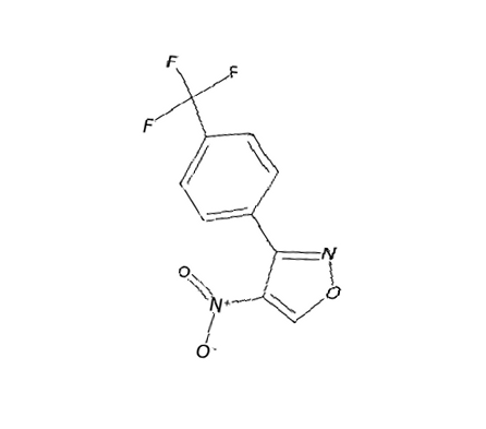 O=[N+]([O-])c1conc1-c1ccc(C(F)(F)F)cc1